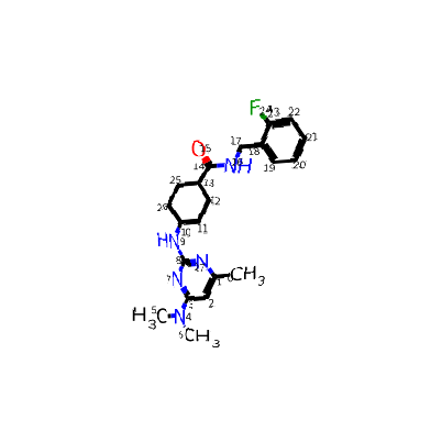 Cc1cc(N(C)C)nc(NC2CCC(C(=O)NCc3ccccc3F)CC2)n1